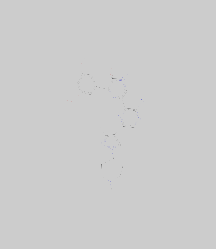 COc1cc(OC)cc(-c2nc(-c3nc(-c4cn(C5CCN(C)CC5)nc4C)cnc3N)cn(C)c2=O)c1